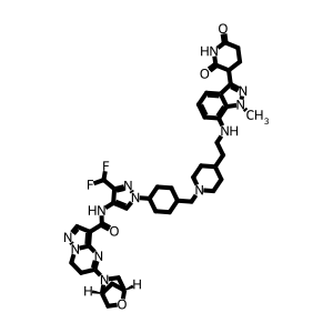 Cn1nc(C2CCC(=O)NC2=O)c2cccc(NCCC3CCN(CC4CCC(n5cc(NC(=O)c6cnn7c6N=C(N6C[C@H]8C[C@@H]6CO8)CC7)c(C(F)F)n5)CC4)CC3)c21